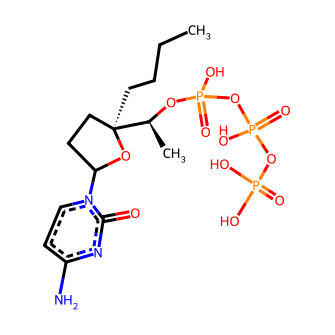 CCCC[C@@]1([C@H](C)OP(=O)(O)OP(=O)(O)OP(=O)(O)O)CCC(n2ccc(N)nc2=O)O1